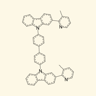 Cc1cccnc1-c1ccc2c3ccccc3n(-c3ccc(-c4ccc(-n5c6ccccc6c6ccc(-c7ncccc7C)cc65)cc4)cc3)c2c1